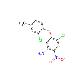 Cc1ccc(Oc2cc(N)c([N+](=O)[O-])cc2Cl)c(Cl)c1